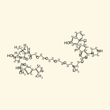 Cc1ncsc1-c1ccc([C@H](C)NC(=O)[C@@H]2C[C@@H](O)CN2C(=O)[C@@H](NC(=O)COCCOCCOCCOCCN(C)CCOc2nc(N3CCNCC3)c3cc(Cl)c(-c4cc(O)cc5ccccc45)c(F)c3n2)C(C)(C)C)cc1